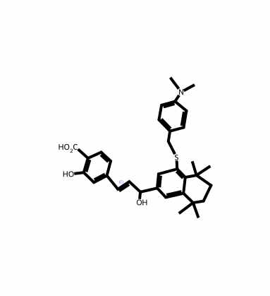 CN(C)c1ccc(CSc2cc(C(O)/C=C/c3ccc(C(=O)O)c(O)c3)cc3c2C(C)(C)CCC3(C)C)cc1